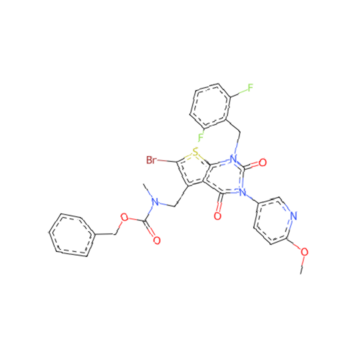 COc1ccc(-n2c(=O)c3c(CN(C)C(=O)OCc4ccccc4)c(Br)sc3n(Cc3c(F)cccc3F)c2=O)cn1